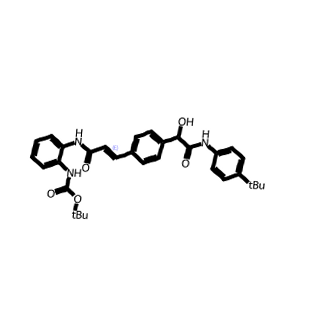 CC(C)(C)OC(=O)Nc1ccccc1NC(=O)/C=C/c1ccc(C(O)C(=O)Nc2ccc(C(C)(C)C)cc2)cc1